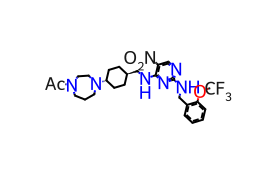 CC(=O)N1CCCN([C@H]2CC[C@H](CNc3nc(NCc4ccccc4OC(F)(F)F)ncc3[N+](=O)[O-])CC2)CC1